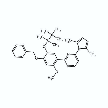 COc1cc(OCc2ccccc2)c(O[Si](C)(C)C(C)(C)C)cc1-c1cccc(-n2c(C)ccc2C)n1